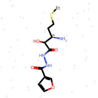 CCSCC[C@@H](N)C(O)C(=O)NNC(=O)c1ccoc1